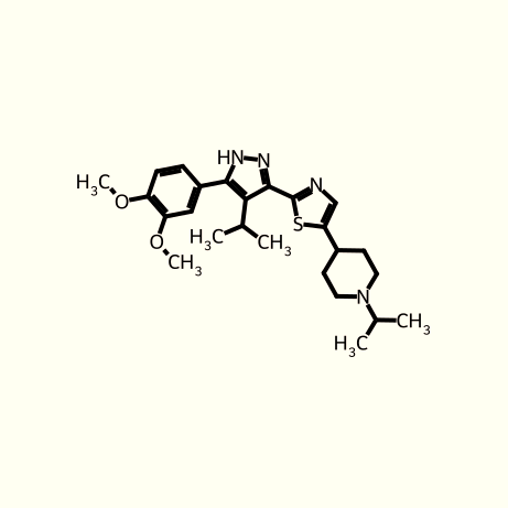 COc1ccc(-c2[nH]nc(-c3ncc(C4CCN(C(C)C)CC4)s3)c2C(C)C)cc1OC